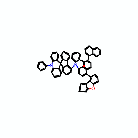 c1ccc(N2c3ccccc3C3(c4ccccc4-c4c(N(c5ccc(-c6cccc7oc8ccccc8c67)cc5)c5ccccc5-c5ccccc5-c5cccc6ccccc56)cccc43)c3ccccc32)cc1